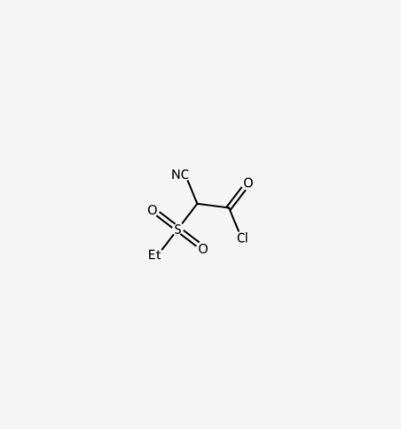 CCS(=O)(=O)C(C#N)C(=O)Cl